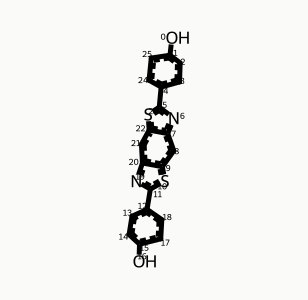 Oc1ccc(-c2nc3cc4sc(-c5ccc(O)cc5)nc4cc3s2)cc1